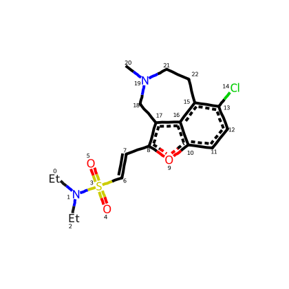 CCN(CC)S(=O)(=O)C=Cc1oc2ccc(Cl)c3c2c1CN(C)CC3